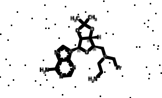 CC(C)CN(CCN)C[C@H]1O[C@@H](n2cnc3c(N)ncnc32)C2OC(C)(C)O[C@@H]21